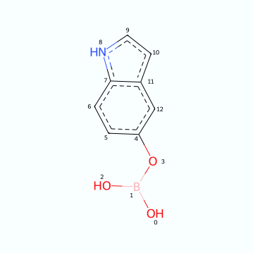 OB(O)Oc1ccc2[nH]ccc2c1